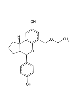 CCOCc1cc(O)cc2c1OC(c1ccc(O)cc1)C1CCC[C@H]21